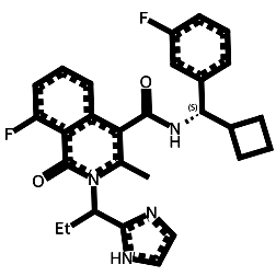 CCC(c1ncc[nH]1)n1c(C)c(C(=O)N[C@H](c2cccc(F)c2)C2CCC2)c2cccc(F)c2c1=O